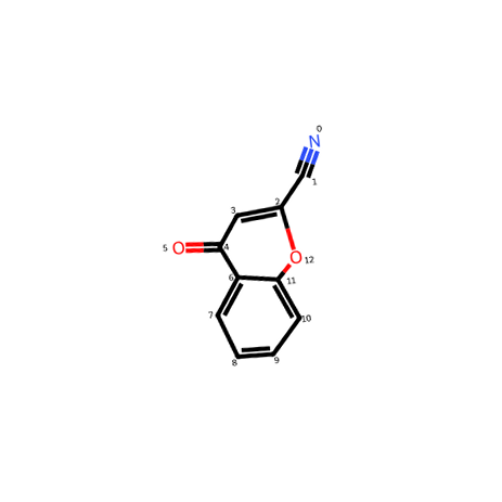 N#Cc1cc(=O)c2ccccc2o1